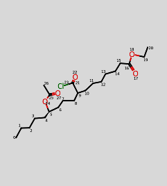 CCCCC[C@H](CCCC(CCCCCCC(=O)OCC)C(=O)Cl)OC(C)=O